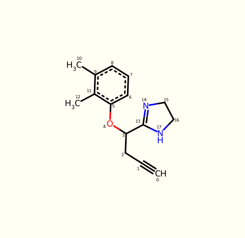 C#CCC(Oc1cccc(C)c1C)C1=NCCN1